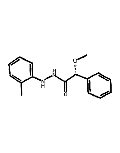 CO[C@@H](C(=O)NNc1ccccc1C)c1ccccc1